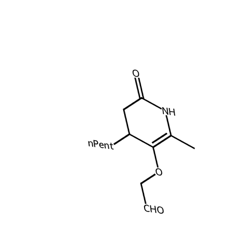 CCCCCC1CC(=O)NC(C)=C1OCC=O